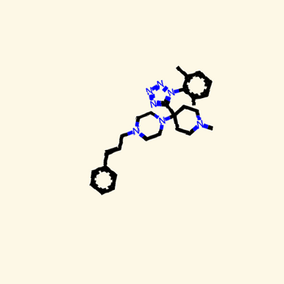 Cc1cccc(C)c1-n1nnnc1C1(N2CCN(C/C=C/c3ccccc3)CC2)CCN(C)CC1